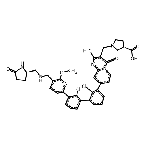 COc1nc(-c2cccc(-c3cccc(-c4ccn5c(=O)c(CN6CC[C@@H](C(=O)O)C6)c(C)nc5c4)c3Cl)c2Cl)ccc1CNC[C@H]1CCC(=O)N1